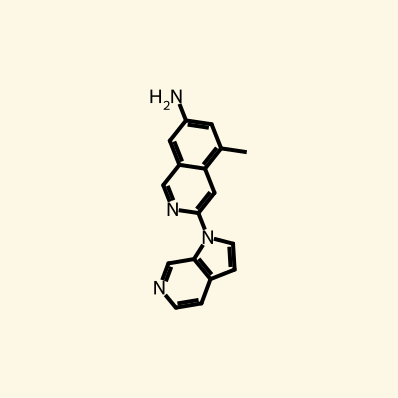 Cc1cc(N)cc2cnc(-n3ccc4ccncc43)cc12